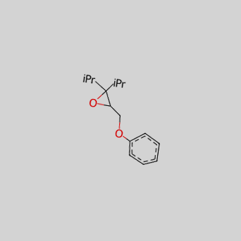 CC(C)C1(C(C)C)OC1COc1ccccc1